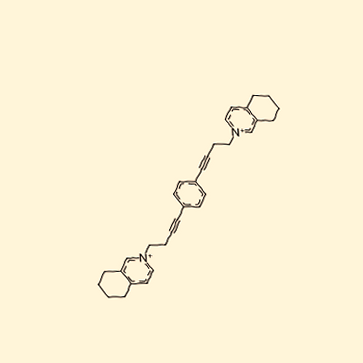 C(#Cc1ccc(C#CCC[n+]2ccc3c(c2)CCCC3)cc1)CC[n+]1ccc2c(c1)CCCC2